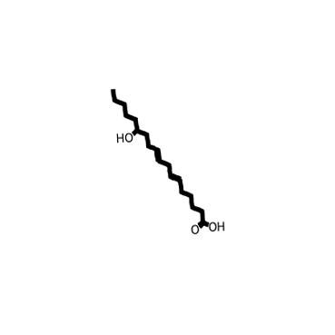 CCCCCC(O)CC/C=C/C/C=C/CCCCC(=O)O